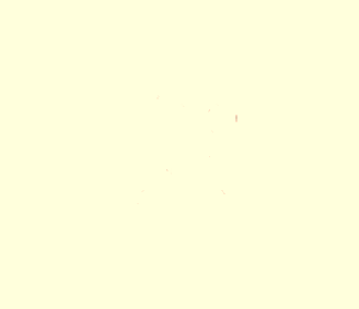 CON(O)C(Cc1ccccc1)C(=O)O.c1ccc2c(c1)Cc1ccccc1-2